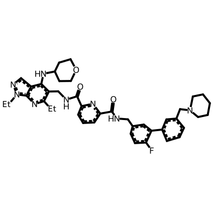 CCc1nc2c(cnn2CC)c(NC2CCOCC2)c1CNC(=O)c1cccc(C(=O)NCc2ccc(F)c(-c3cccc(CN4CCCCC4)c3)c2)n1